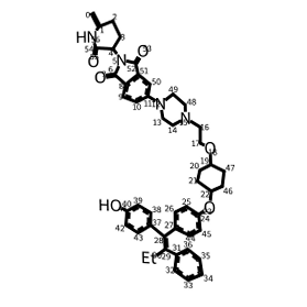 C=C1CCC(N2C(=O)c3ccc(N4CCN(CCOC5CCC(Oc6ccc(/C(=C(/CC)c7ccccc7)c7ccc(O)cc7)cc6)CC5)CC4)cc3C2=O)C(=O)N1